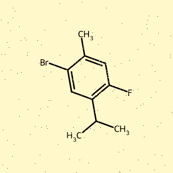 Cc1cc(F)c(C(C)C)cc1Br